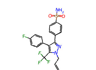 C=CCn1nc(-c2ccc(S(N)(=O)=O)cc2)c(-c2ccc(F)cc2)c1C(F)(F)F